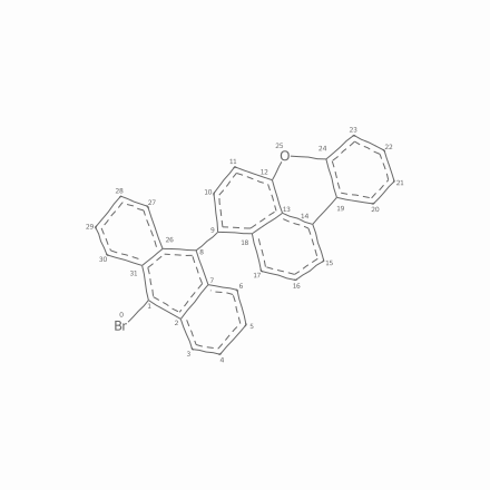 Brc1c2ccccc2c(-c2ccc3c4c(cccc24)-c2ccccc2O3)c2ccccc12